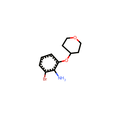 Nc1c(Br)cccc1OC1CCOCC1